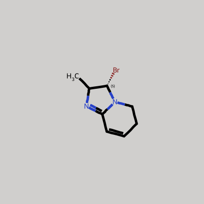 CC1N=C2C=CCCN2[C@H]1Br